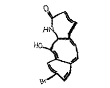 O=C1C=CC2=CC=c3ccc(Br)cc3=C(O)C2N1